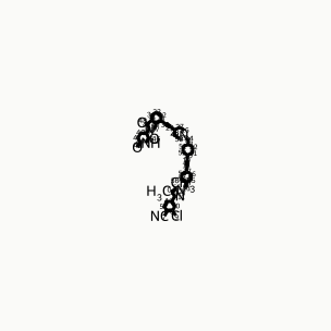 Cc1c(-c2ccc(C#N)c(Cl)c2)nn(Cc2ccc(C#CC3CCC(CN4CCC(C#Cc5cccc6c5CN(C5CCC(=O)NC5=O)C6=O)CC4)CC3)cc2)c1C